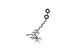 CC(C)C[C@@H](C(=O)[O-])C(C[N+](C)(C)C)NC(=O)NCCCCCCCc1ccc(-c2ccccc2)cc1